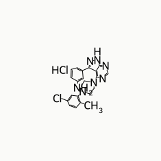 Cc1ccc(Cl)cc1N1CCN(c2ncnc3[nH]nc(-c4cccc(N)c4)c23)CC1.Cl